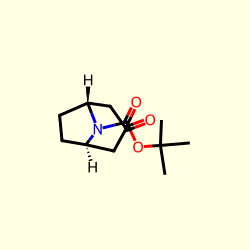 CC(C)(C)OC(=O)N1[C@@H]2CC[C@@H]1CC(=O)C2